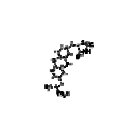 NC(Cc1ccc(Oc2ccc(C=C3SC(=O)NC3=O)cc2)c(F)c1)C(=O)O